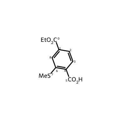 CCOC(=O)c1ccc(C(=O)O)c(SC)c1